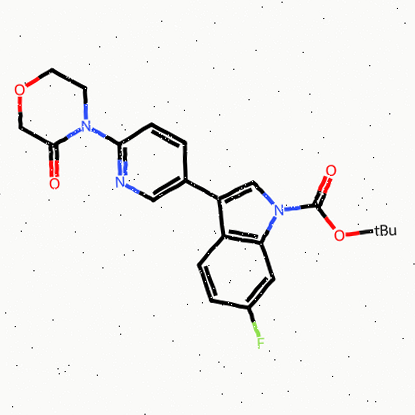 CC(C)(C)OC(=O)n1cc(-c2ccc(N3CCOCC3=O)nc2)c2ccc(F)cc21